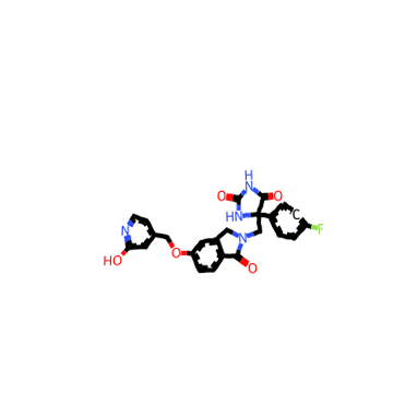 O=C1NC(=O)C(CN2Cc3cc(OCc4ccnc(O)c4)ccc3C2=O)(c2ccc(F)cc2)N1